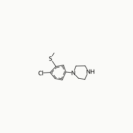 CSc1cc(N2CCNCC2)ccc1Cl